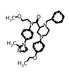 CCOc1ccc(N2CCN(Cc3ccccc3)C(C(=O)N(CCOC)c3ccc(-n4ccnc4C)cc3)C2)cc1